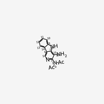 CC(=O)N(C(C)=O)c1ncc2c([nH]c3ccccc32)c1N